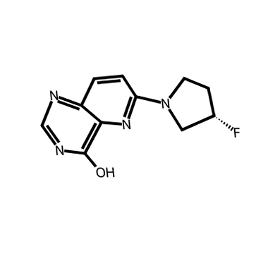 Oc1ncnc2ccc(N3CC[C@H](F)C3)nc12